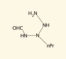 [CH2]CCN(NN)N[C]=O